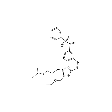 C=C(c1ccc2c(c1)ncc1nc(COCC)n(CCCOC(C)C)c12)S(=O)(=O)c1ccccc1